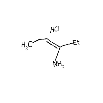 CC=C(N)CC.Cl